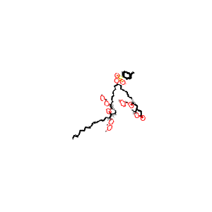 CCCCCCCCCCCC[C@H](OCOC)[C@@H]1CC[C@@H]([C@H](CCCCCCC(CCCCC[C@H](CC2=CC(=O)O[C@H]2C)OCOC)OS(=O)(=O)c2ccc(C)cc2)OCOC)O1